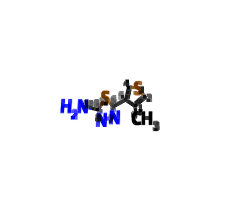 Cc1cscc1-c1nnc(N)s1